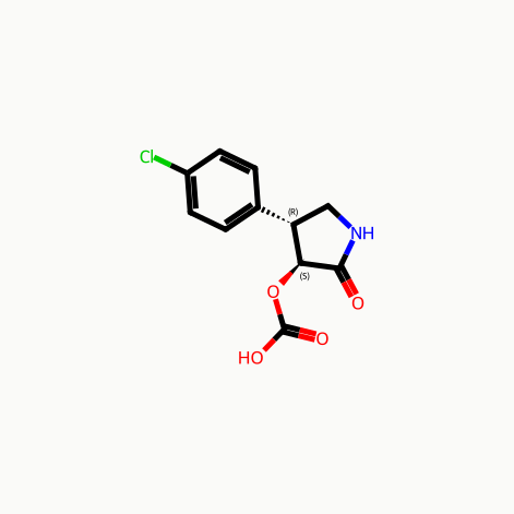 O=C(O)O[C@@H]1C(=O)NC[C@H]1c1ccc(Cl)cc1